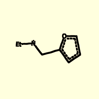 CC[N]Cc1ccco1